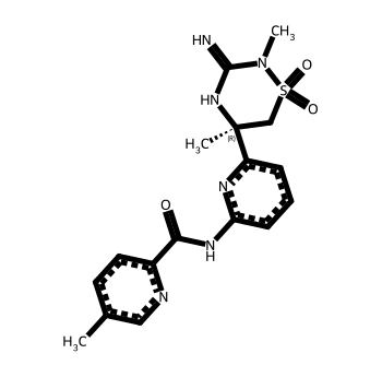 Cc1ccc(C(=O)Nc2cccc([C@]3(C)CS(=O)(=O)N(C)C(=N)N3)n2)nc1